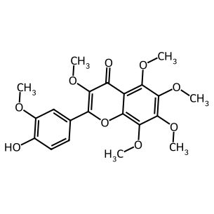 COc1cc(-c2oc3c(OC)c(OC)c(OC)c(OC)c3c(=O)c2OC)ccc1O